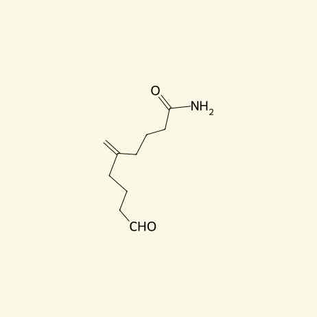 C=C(CCCC=O)CCCC(N)=O